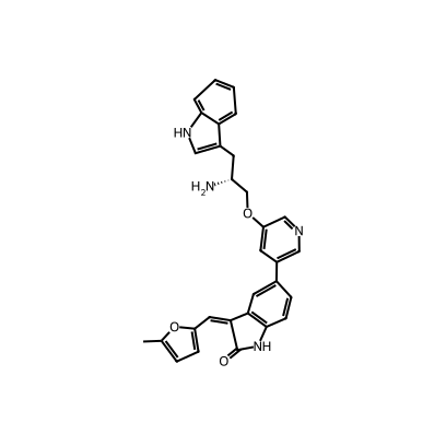 Cc1ccc(C=C2C(=O)Nc3ccc(-c4cncc(OC[C@H](N)Cc5c[nH]c6ccccc56)c4)cc32)o1